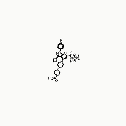 CN(C)S(=O)(=O)NC(=O)c1cc(N2CCC(N3CCN(C(=O)O)CC3)CC2)c2c(C3CCC3)nn(-c3ccc(F)cc3)c2n1